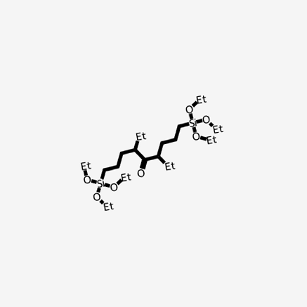 CCO[Si](CCCC(CC)C(=O)C(CC)CCC[Si](OCC)(OCC)OCC)(OCC)OCC